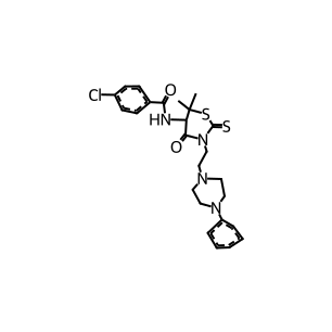 CC1(C)SC(=S)N(CCN2CCN(c3ccccc3)CC2)C(=O)C1NC(=O)c1ccc(Cl)cc1